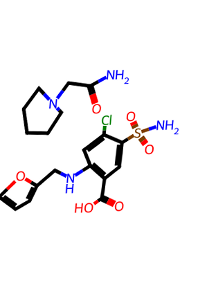 NC(=O)CN1CCCCC1.NS(=O)(=O)c1cc(C(=O)O)c(NCc2ccco2)cc1Cl